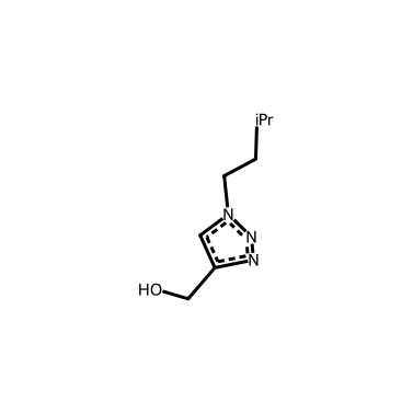 CC(C)CCn1cc(CO)nn1